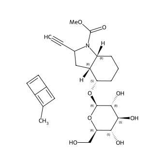 C#CC1C[C@H]2[C@@H](O[C@@H]3O[C@H](CO)[C@@H](O)[C@H](O)[C@H]3O)CCC[C@H]2N1C(=O)OC.Cc1cc2ccc1-2